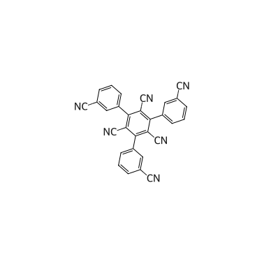 N#Cc1cccc(-c2c(C#N)c(-c3cccc(C#N)c3)c(C#N)c(-c3cccc(C#N)c3)c2C#N)c1